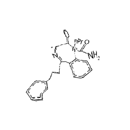 CCC[N+]1(C(N)=O)C(=O)[CH]N=C(CCc2ccccc2)c2ccccc21